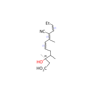 CC\C=C/C(C#N)=C(C)/C=C\CC(C)[C@](C)(O)CC(=O)O